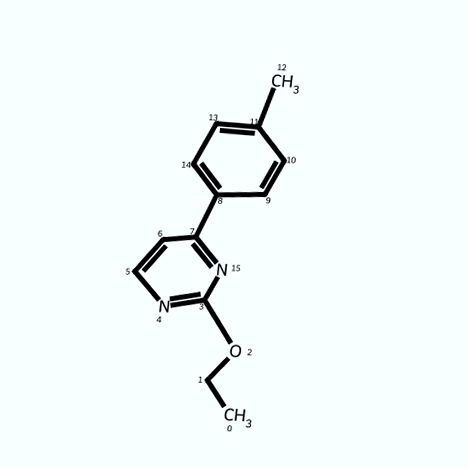 CCOc1nccc(-c2ccc(C)cc2)n1